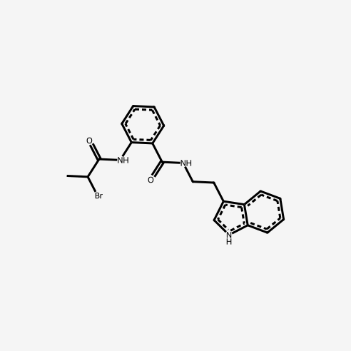 CC(Br)C(=O)Nc1ccccc1C(=O)NCCc1c[nH]c2ccccc12